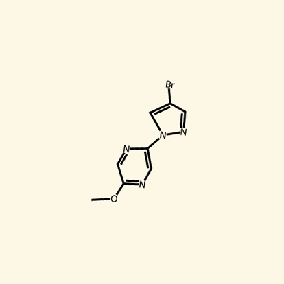 COc1cnc(-n2cc(Br)cn2)cn1